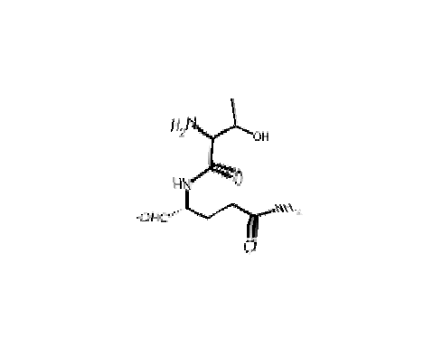 CC(O)C(N)C(=O)N[C@@H]([C]=O)CCC(N)=O